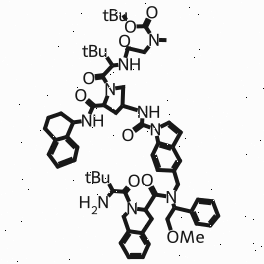 COCC(c1ccccc1)N(Cc1ccc2c(ccn2C(=O)NC2CC(C(=O)NC3CCCc4ccccc43)N(C(=O)C(NC(=O)CN(C)C(=O)OC(C)(C)C)C(C)(C)C)C2)c1)C(=O)C1Cc2ccccc2CN1C(=O)C(N)C(C)(C)C